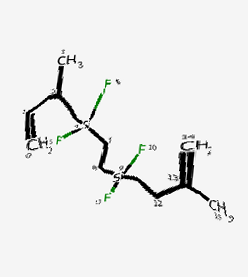 C=CC(C)[Si](F)(F)CC[Si](F)(F)CC(=C)C